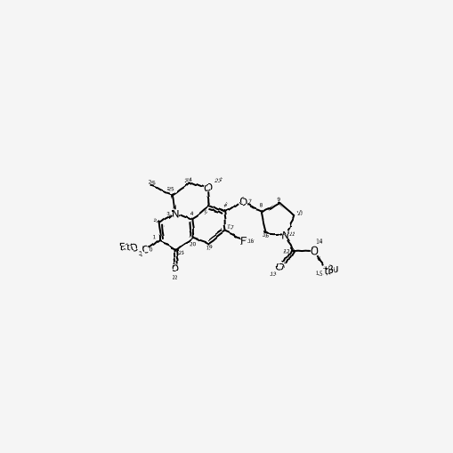 CCOC(=O)c1cn2c3c(c(OC4CCN(C(=O)OC(C)(C)C)C4)c(F)cc3c1=O)OCC2C